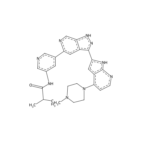 CC(C)C(=O)Nc1cncc(-c2cc3c(-c4cc5c(N6CCN(C)CC6)ccnc5[nH]4)n[nH]c3cn2)c1